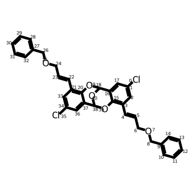 Clc1cc(C=CCOCc2ccccc2)c2c(c1)C1Oc3c(C=CCOCc4ccccc4)cc(Cl)cc3C(O2)O1